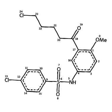 COc1ccc(NS(=O)(=O)c2ccc(Cl)cc2)cc1C(=O)CCCCCl